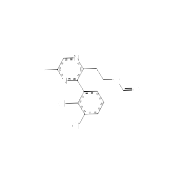 Cc1cnc(CCOC=O)c(-c2cccc(Cl)c2Cl)n1